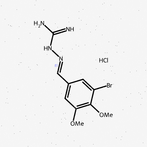 COc1cc(/C=N/NC(=N)N)cc(Br)c1OC.Cl